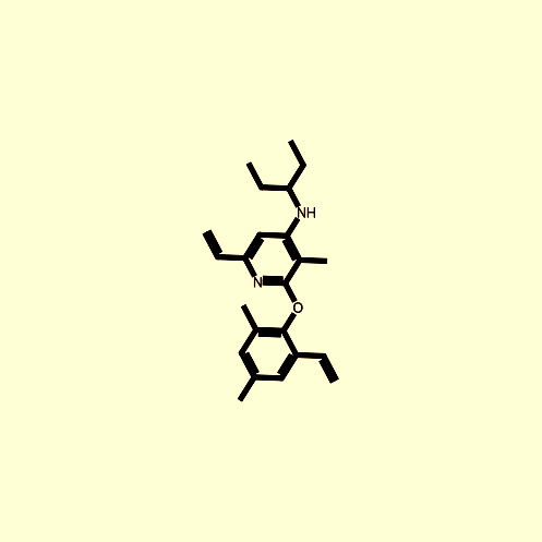 C=Cc1cc(NC(CC)CC)c(C)c(Oc2c(C)cc(C)cc2C=C)n1